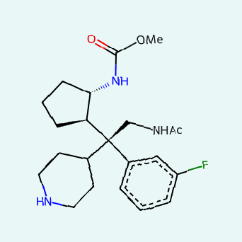 COC(=O)N[C@H]1CCC[C@@H]1[C@](CNC(C)=O)(c1cccc(F)c1)C1CCNCC1